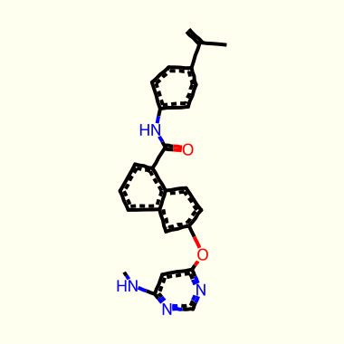 C=C(C)c1ccc(NC(=O)c2cccc3cc(Oc4cc(NC)ncn4)ccc23)cc1